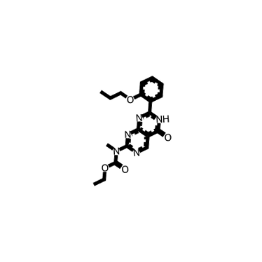 CCCOc1ccccc1-c1nc2nc(N(C)C(=O)OCC)ncc2c(=O)[nH]1